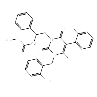 Cc1ccccc1Cn1c(C)c(-c2ccccc2F)c(=O)n(CC(NC(=O)OC(C)(C)C)c2ccccc2)c1=O